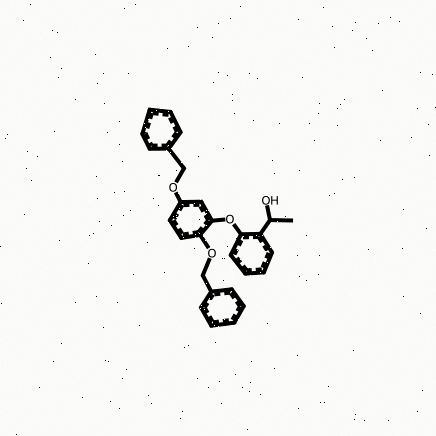 CC(O)c1ccccc1Oc1cc(OCc2ccccc2)ccc1OCc1ccccc1